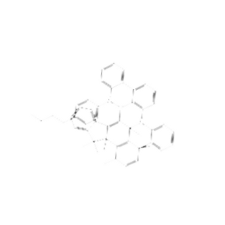 CCCCc1ccc(N2B3C4=C5c6ccccc6C(C)(C)C5(C)C5=C6C(C)(C=CC5C)c5ccccc5N(c5cccc(c53)-c3ccccc32)C46C)cc1